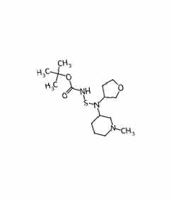 CN1CCCC(N(SNC(=O)OC(C)(C)C)C2CCOC2)C1